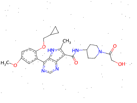 COc1ccc(OCC2CC2)c(-c2ncnc3c(C(=O)NC4CCN(C(=O)CO)CC4)c(C)[nH]c23)c1